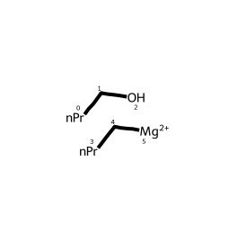 CCCCO.CCC[CH2][Mg+2]